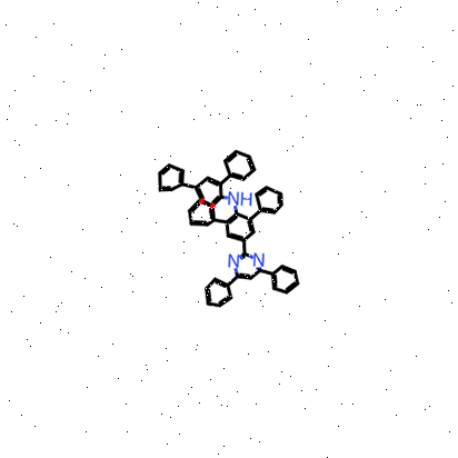 Cc1cc(-c2ccccc2)cc(-c2ccccc2)c1Nc1c(-c2ccccc2)cc(-c2nc(-c3ccccc3)cc(-c3ccccc3)n2)cc1-c1ccccc1